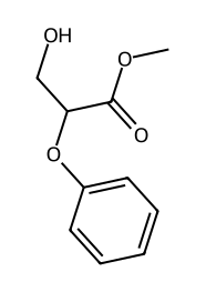 COC(=O)C(CO)Oc1ccccc1